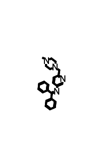 CN1CCN(Cc2ccc(N=C(c3ccccc3)c3ccccc3)cn2)CC1